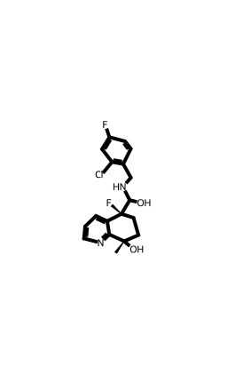 C[C@]1(O)CC[C@@](F)(C(O)NCc2ccc(F)cc2Cl)c2cccnc21